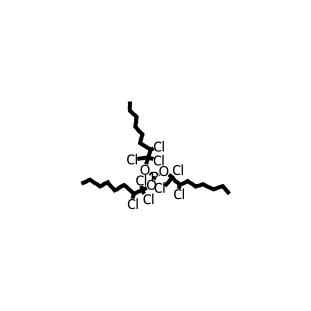 CCCCCCC(Cl)C(Cl)(Cl)OP(OC(Cl)(Cl)C(Cl)CCCCCC)OC(Cl)(Cl)C(Cl)CCCCCC